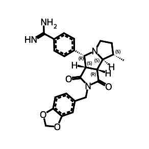 C[C@H]1CCN2[C@@H]1[C@@H]1C(=O)N(Cc3ccc4c(c3)OCO4)C(=O)[C@@H]1[C@@H]2c1ccc(C(=N)N)cc1